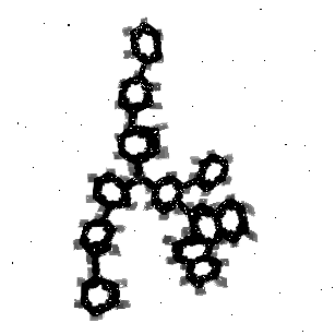 c1ccc(-c2ccc(-c3ccc(N(c4cccc(-c5ccc(-c6ccccc6)cc5)c4)c4ccc(-c5cc6ccccc6c6c5ccc5ccccc56)c(-c5ccccc5)c4)cc3)cc2)cc1